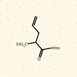 C=CCC(C(=O)CCCCCC)C(=O)OCC